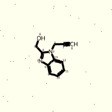 C#CCn1c(CO)nc2ccccc21